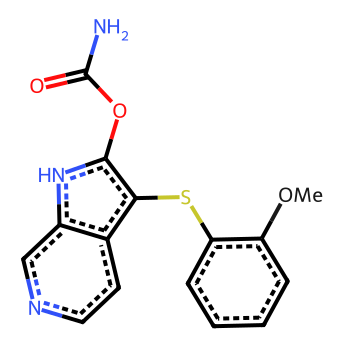 COc1ccccc1Sc1c(OC(N)=O)[nH]c2cnccc12